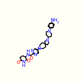 Nc1ccc(N2CCC(N3CCC4(CCN(c5cnc(C(=O)NC6CCC(=O)NC6=O)nc5)CC4)C3)CC2)cc1